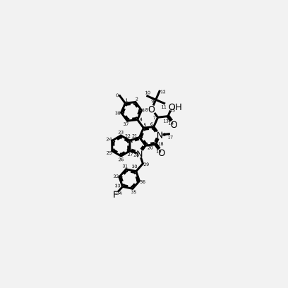 Cc1ccc(-c2c(C(OC(C)(C)C)C(=O)O)n(C)c(=O)c3c2c2ccccc2n3Cc2ccc(F)cc2)cc1